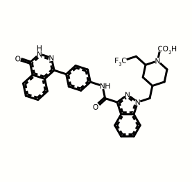 O=C(Nc1ccc(-c2n[nH]c(=O)c3ccccc23)cc1)c1nn(CC2CCN(C(=O)O)C(CC(F)(F)F)C2)c2ccccc12